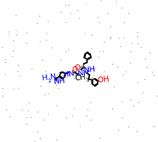 C[C@H](NC(=O)[C@@H](CCc1ccccc1)NCCCc1cccc(O)c1)C(=O)NCc1ccc(C(=N)N)cc1